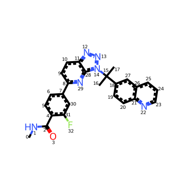 CNC(=O)c1ccc(-c2ccc3nnn(C(C)(C)c4ccc5ncccc5c4)c3n2)cc1F